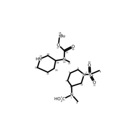 CN(C(=O)O)C1CCCN(S(C)(=O)=O)C1.CN(C(=O)OC(C)(C)C)C1CCCNC1